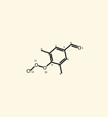 Cc1cc(C=O)cc(C)c1OOCl